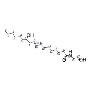 CCCCCCC(O)C/C=C/CCCCCCCC(=O)NCCO